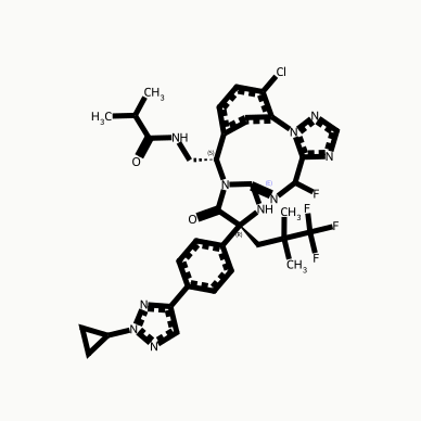 CC(C)C(=O)NC[C@@H]1c2ccc(Cl)c(c2)-n2ncnc2C(F)/N=C2\N[C@](CC(C)(C)C(F)(F)F)(c3ccc(-c4cnn(C5CC5)n4)cc3)C(=O)N21